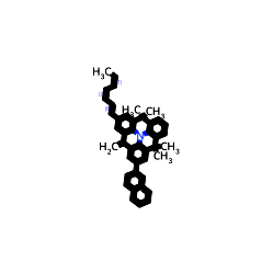 C=C1c2cc(/C=C/C=C\C=C/C)cc3c2N2c4c1cc(-c1ccc5ccccc5c1)cc4C(C)(C)c1cccc(c12)C3(C)C